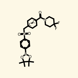 CC1(C)OB(c2ccc(S(=O)(=O)CC34CCC(C(=O)N5CCC(F)(F)CC5)(CC3)CC4)cc2)OC1(C)C